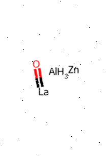 [AlH3].[O]=[La].[Zn]